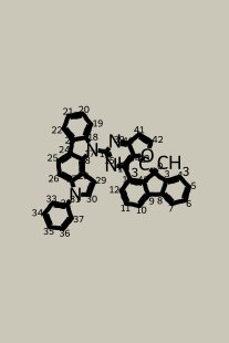 CC1(C)c2ccccc2-c2cccc(-c3nc(-n4c5ccccc5c5ccc6c(ccn6-c6ccccc6)c54)nc4ccoc34)c21